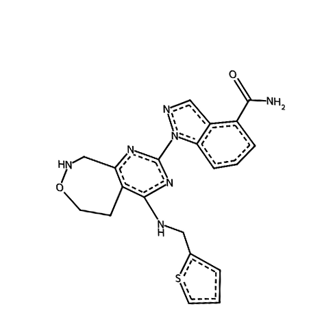 NC(=O)c1cccc2c1cnn2-c1nc2c(c(NCc3cccs3)n1)CCONC2